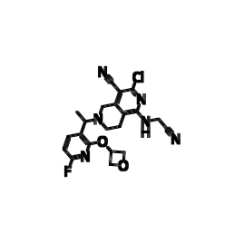 CC(c1ccc(F)nc1OC1COC1)N1CCc2c(NCC#N)nc(Cl)c(C#N)c2C1